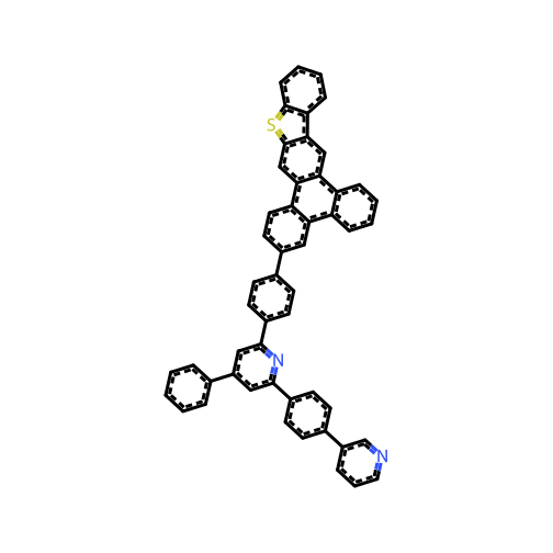 c1ccc(-c2cc(-c3ccc(-c4cccnc4)cc3)nc(-c3ccc(-c4ccc5c(c4)c4ccccc4c4cc6c(cc54)sc4ccccc46)cc3)c2)cc1